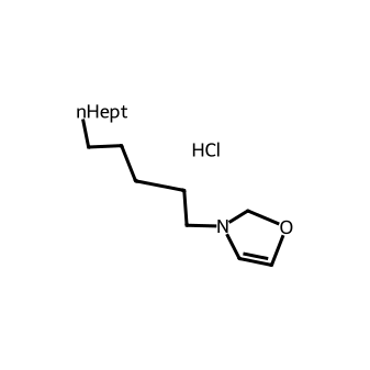 CCCCCCCCCCCCN1C=COC1.Cl